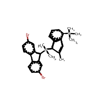 CC1=Cc2c(cccc2[Si](C)(C)C)C1[Si](C)(C)C1c2cc(Br)ccc2-c2ccc(Br)cc21